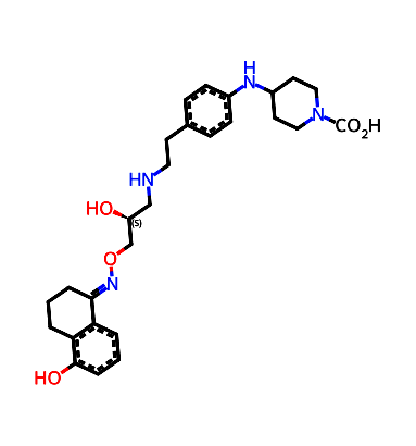 O=C(O)N1CCC(Nc2ccc(CCNC[C@H](O)CON=C3CCCc4c(O)cccc43)cc2)CC1